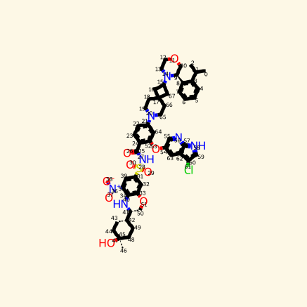 CC(C)c1ccccc1[C@@H]1COCCN1C1CC2(CCN(c3ccc(C(=O)NS(=O)(=O)c4cc5c(c([N+](=O)[O-])c4)N[C@@H]([C@H]4CC[C@](C)(O)CC4)CO5)c(Oc4cnc5[nH]cc(Cl)c5c4)c3)CC2)C1